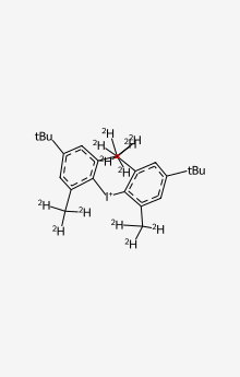 [2H]C([2H])([2H])c1cc(C(C)(C)C)cc(C([2H])([2H])[2H])c1[I+]c1c(C([2H])([2H])[2H])cc(C(C)(C)C)cc1C([2H])([2H])[2H]